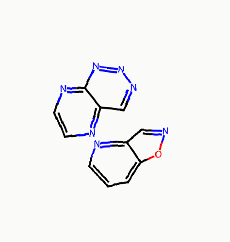 c1cnc2cnoc2c1.c1cnc2nnncc2n1